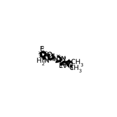 CCn1c(-c2cc(C)n(C)n2)nc2c1CN([C@H]1CO[C@H](c3cc(F)ccc3F)[C@@H](N)C1)C2